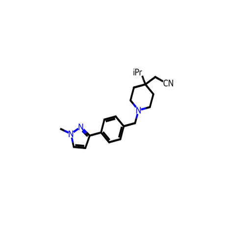 CC(C)C1(CC#N)CCN(Cc2ccc(-c3ccn(C)n3)cc2)CC1